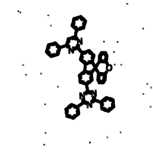 c1ccc(-c2cc(-c3ccccc3)nc(-c3ccc4c(c3)-c3ccc(-c5nc(-c6ccccc6)nc(-c6ccccc6)n5)cc3C43c4ccccc4Oc4ccccc43)n2)cc1